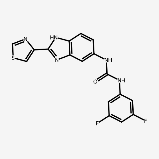 O=C(Nc1cc(F)cc(F)c1)Nc1ccc2[nH]c(-c3cscn3)nc2c1